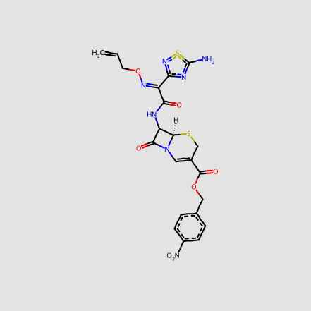 C=CCON=C(C(=O)NC1C(=O)N2C=C(C(=O)OCc3ccc([N+](=O)[O-])cc3)CS[C@H]12)c1nsc(N)n1